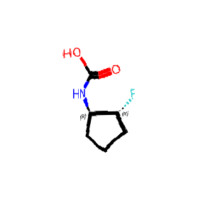 O=C(O)N[C@@H]1CCC[C@H]1F